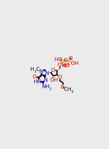 COCCOC1[C@@H](COP(=O)(O)OP(=O)(O)O)O[C@@H](n2c[n+](C)c3c(=O)[nH]c(N)nc32)[C@H]1O